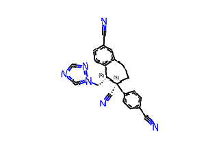 N#Cc1ccc([C@]2(C#N)CCc3cc(C#N)ccc3[C@H]2Cn2cncn2)cc1